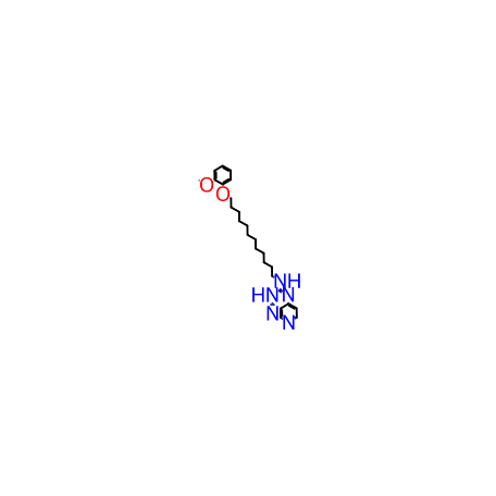 COc1ccccc1OCCCCCCCCCCCCN/C(=N/c1ccncc1)NC#N